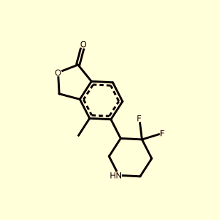 Cc1c(C2CNCCC2(F)F)ccc2c1COC2=O